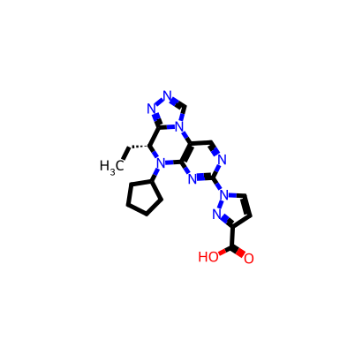 CC[C@@H]1c2nncn2-c2cnc(-n3ccc(C(=O)O)n3)nc2N1C1CCCC1